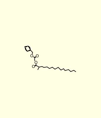 CCCCCCCCCCCCCCC(C)C(=O)OCC(=O)OCc1ccccc1